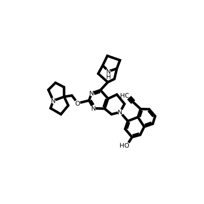 C#Cc1cccc2cc(O)cc(N3CCc4c(nc(OCC56CCCN5CCC6)nc4C4CC5CCC(C4)N5)C3)c12